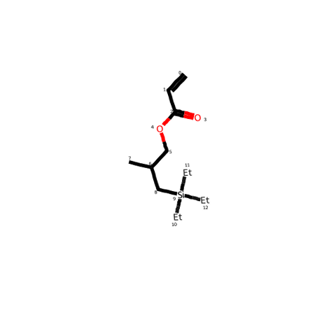 C=CC(=O)OCC(C)C[Si](CC)(CC)CC